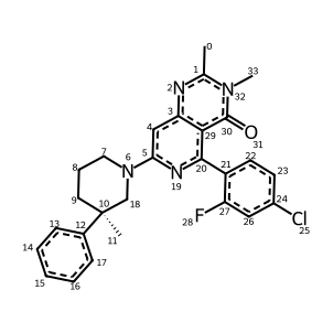 Cc1nc2cc(N3CCC[C@](C)(c4ccccc4)C3)nc(-c3ccc(Cl)cc3F)c2c(=O)n1C